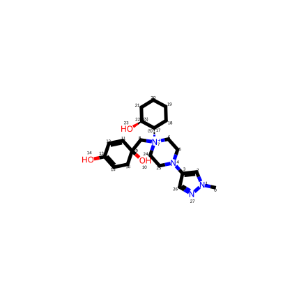 Cn1cc(N2CC[N+](CC3(O)C=CC(O)=CC3)([C@H]3CCCC[C@@H]3O)CC2)cn1